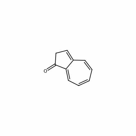 O=C1CC=C2C=CC=CC=C12